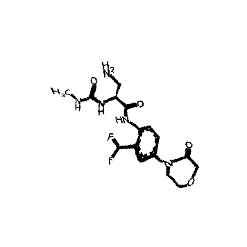 CNC(=O)N[C@@H](CN)C(=O)Nc1ccc(N2CCOCC2=O)cc1C(F)F